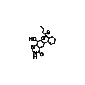 CCCS(=O)(=O)c1ccccc1-c1cc(O)c2nc[nH]c(=O)c2c1